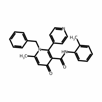 Cc1ccccc1NC(=O)c1c(-c2ccncc2)n(Cc2ccccc2)c(C)cc1=O